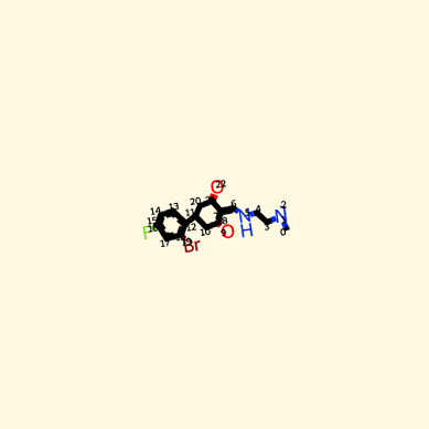 CN(C)CCNC=C1C(=O)CC(c2ccc(F)cc2Br)CC1=O